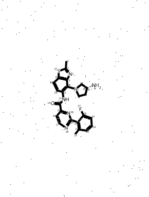 Cc1nc2c(N3CC[C@@H](N)C3)c(NC(=O)c3ccnc(-c4c(C)cccc4F)n3)ccc2s1